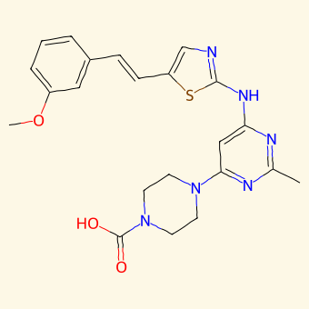 COc1cccc(C=Cc2cnc(Nc3cc(N4CCN(C(=O)O)CC4)nc(C)n3)s2)c1